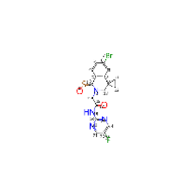 O=S=C1c2ccc(Br)cc2C2(CC2)CN1CC(=O)Nc1ncc(F)cn1